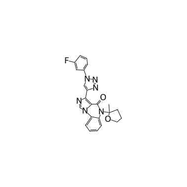 CC1(n2c(=O)c3c(-c4cn(-c5cccc(F)c5)nn4)ncn3c3ccccc32)CCCO1